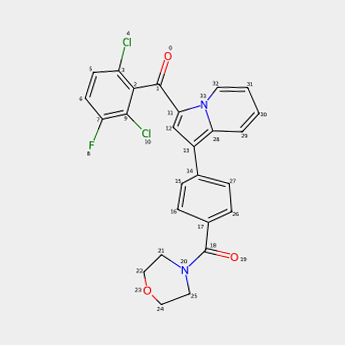 O=C(c1c(Cl)ccc(F)c1Cl)c1cc(-c2ccc(C(=O)N3CCOCC3)cc2)c2ccccn12